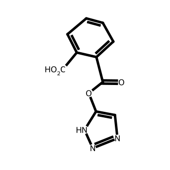 O=C(O)c1ccccc1C(=O)Oc1cnn[nH]1